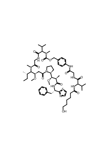 CC[C@H](C)C([C@@H](CC(=O)N1CCC[C@H]1[C@H](OC)[C@@H](C)C(=O)N[C@@H](Cc1ccccc1)c1nccs1)OC)N(C)C(=O)CNC(=O)C(C(C)C)N(C)C(=O)OCc1ccc(NC(=O)CNC(=O)C(NC(=O)CCCCCO)C(C)C)cc1